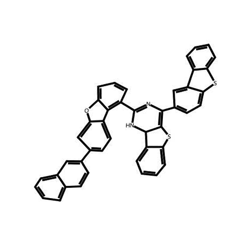 c1ccc2c(c1)SC1=C(c3ccc4sc5ccccc5c4c3)N=C(c3cccc4oc5cc(-c6ccc7ccccc7c6)ccc5c34)NC12